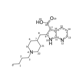 CCCCN1CCC(Cc2[nH]c3ncccc3c2C(=O)O)CC1